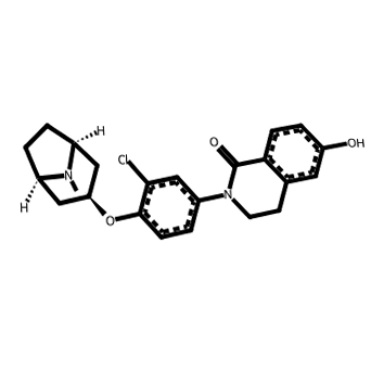 CN1[C@@H]2CC[C@H]1C[C@@H](Oc1ccc(N3CCc4cc(O)ccc4C3=O)cc1Cl)C2